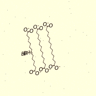 O=C([O-])CCCCCCCCCCCCC(=O)[O-].O=C([O-])CCCCCCCCCCCCC(=O)[O-].O=C([O-])CCCCCCCCCCCCC(=O)[O-].[Bi+3].[Bi+3]